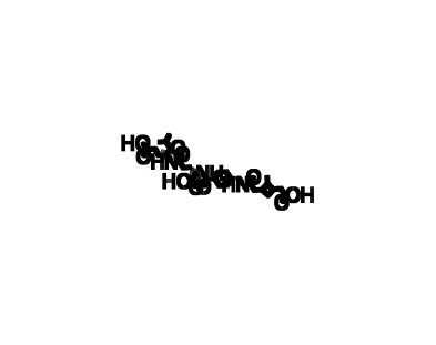 CC(C)C(=O)[C@H](CCC(=O)O)NC(=O)CC[C@H](NC(=O)[C@H]1CC[C@H](CNC(=O)CC2CC(CC(=O)O)C2C)CC1)C(=O)O